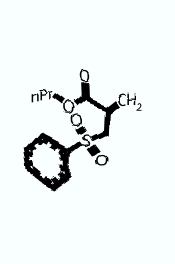 C=C(CS(=O)(=O)c1ccccc1)C(=O)OCCC